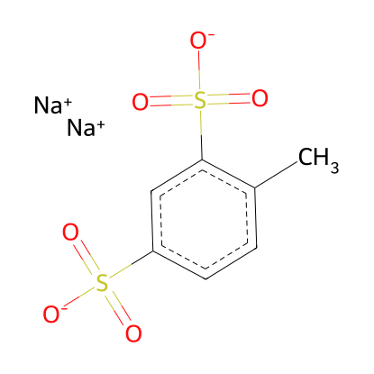 Cc1ccc(S(=O)(=O)[O-])cc1S(=O)(=O)[O-].[Na+].[Na+]